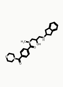 CN(CC(O)CNC1Cc2ccccc2C1)C(=O)c1ccc(C(=O)N2CCOCC2)cc1